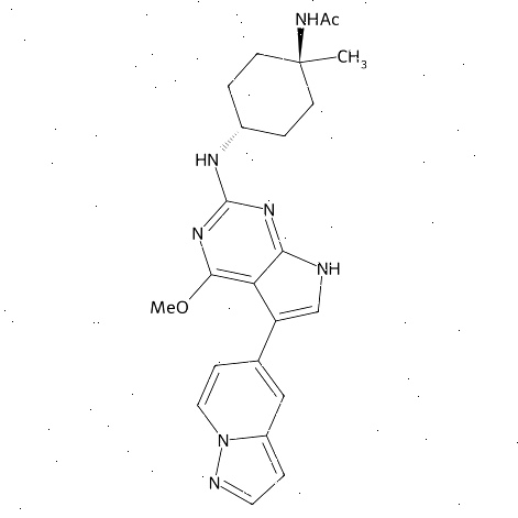 COc1nc(N[C@H]2CC[C@](C)(NC(C)=O)CC2)nc2[nH]cc(-c3ccn4nccc4c3)c12